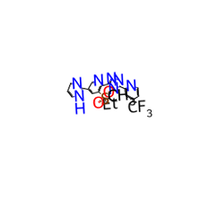 CCS(=O)(=O)c1cc(C2N=CC=CN2)cnc1-c1nnc(-c2cc(C(F)(F)F)ccn2)n1C